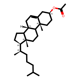 CC(=O)O[C@H]1CC[C@@]2(C)C(=CC[C@@H]3C2CC[C@@]2(C)C3CC[C@@H]2[C@H](C)CCCC(C)C)C1